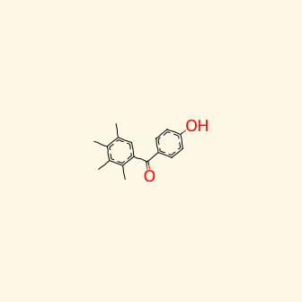 Cc1cc(C(=O)c2ccc(O)cc2)c(C)c(C)c1C